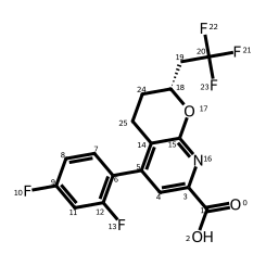 O=C(O)c1cc(-c2ccc(F)cc2F)c2c(n1)O[C@@H](CC(F)(F)F)CC2